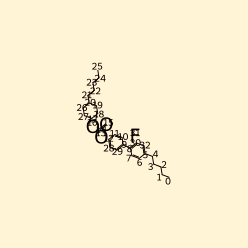 CCCCCc1ccc(-c2ccc(OC(=O)O[C@H]3CC[C@H](CCCCC)CC3)cc2)c(F)c1